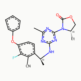 CC[C@H]1COC(=O)N1c1nc(C)nc(N[C@@H](C)c2ccc(Oc3ccccc3)c(F)c2C#N)n1